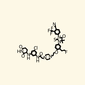 CC1(C)C(=O)N(c2ccc(C#N)c(C(F)(F)F)c2)C(=S)N1c1ccc(OCCN2CCN(CC(=O)Nc3cc(Cl)cc(NC4CCC(=O)NC4=O)c3)CC2)c(CCF)c1